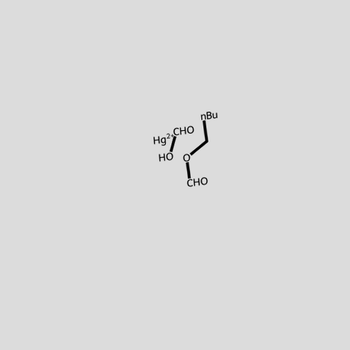 CCCCCO[C-]=O.O=[C-]O.[Hg+2]